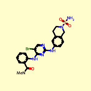 CNC(=O)c1ccccc1Nc1nc(Nc2ccc3c(c2)CCN(S(N)(=O)=O)C3)ncc1Br